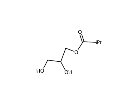 CC(C)C(=O)OCC(O)CO